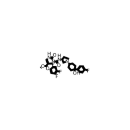 COC(=O)C1=CNC(=O)N(C(=O)N[C@@H]2CCN(C3CCC(O)(c4ccc(F)cc4)CC3)C2)[C@H]1c1ccc(F)c(F)c1